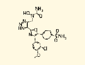 COc1ccc(-c2nc(-c3[nH]nnc3CN(O)C(N)=O)oc2-c2ccc(S(N)(=O)=O)cc2)cc1Cl